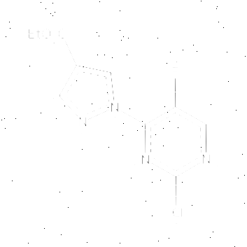 CCOC(=O)c1cnn(-c2nc(Cl)ncc2F)c1